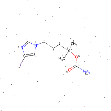 CC(C)(CCCn1cnc(I)c1)OC(N)=O